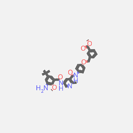 COC(=O)c1cccc(COc2ccc(NC(=O)c3cc(NC(=O)c4cc(C(C)(C)C)cc(N)c4OC)cnc3C)cc2)c1